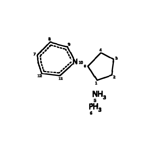 C1CCCC1.N.P.c1ccncc1